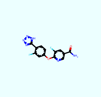 NC(=O)c1cnc(Oc2ccc(-c3nnn[nH]3)c(F)c2)c(F)c1